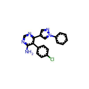 Nc1ncnc(-c2cnn(-c3ccccc3)c2)c1-c1ccc(Cl)cc1